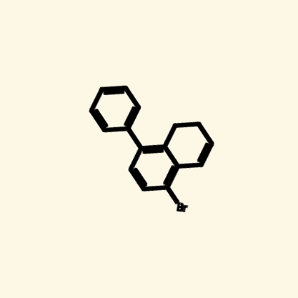 Brc1ccc(-c2ccccc2)c2c1C=CCC2